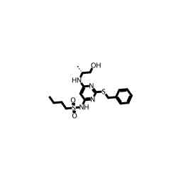 CCCCS(=O)(=O)Nc1cc(N[C@H](C)CO)nc(SCc2ccccc2)n1